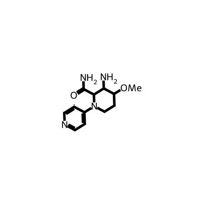 COC1CCN(c2[c]cncc2)C(C(N)=O)C1N